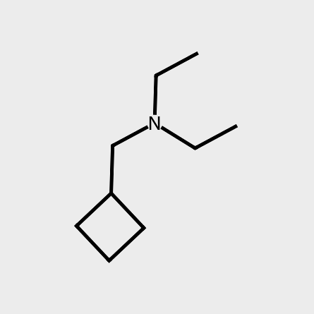 CCN(CC)CC1CCC1